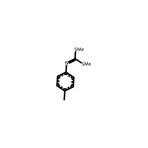 CSC(=Nc1ccc(C)cc1)SC